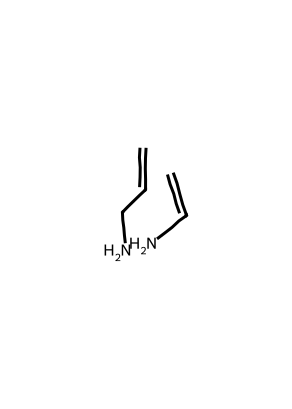 C=CCN.C=CN